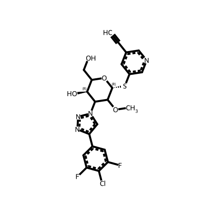 C#Cc1cncc(S[C@H]2OC(CO)[C@H](O)C(n3cc(-c4cc(F)c(Cl)c(F)c4)nn3)C2OC)c1